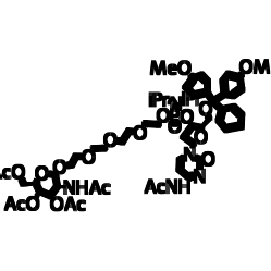 COc1ccc(C(OC[C@H]2O[C@@H](n3ccc(NC(C)=O)nc3=O)C[C@@H]2OP(=O)(OCCOCCOCCOCCO[C@@H]2O[C@H](COC(C)=O)[C@H](OC(C)=O)[C@H](OC(C)=O)[C@H]2NC(C)=O)N(C(C)C)C(C)C)(c2ccccc2)c2ccc(OC)cc2)cc1